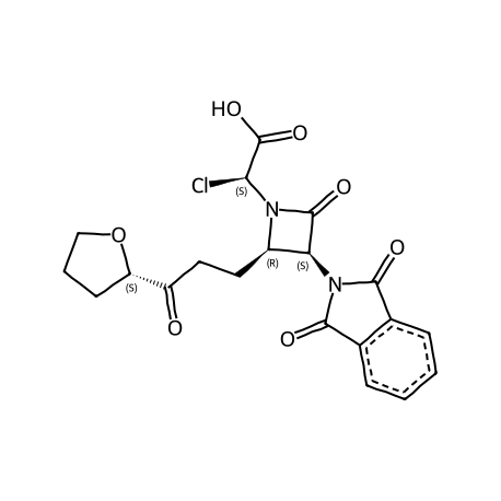 O=C(CC[C@@H]1[C@H](N2C(=O)c3ccccc3C2=O)C(=O)N1[C@@H](Cl)C(=O)O)[C@@H]1CCCO1